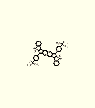 CC(C)(C)c1ccc(C2=c3cc4cc5c(cc4cc3C3=C2S(=O)(=O)c2ccccc23)=C(c2ccc(C(C)(C)C)cc2)C2=C5c3ccccc3S2(=O)=O)cc1